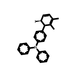 CC1=C(C)C(c2ccc(N(c3ccccc3)c3ccccc3)cc2)[C@@H](I)C=C1